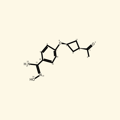 CC(=O)[C@H]1C[C@@H](Oc2ccc(/C(N)=N/O)cc2)C1